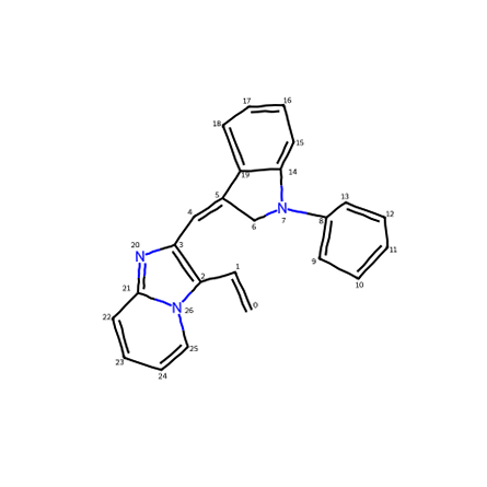 C=Cc1c(/C=C2\CN(c3ccccc3)c3ccccc32)nc2ccccn12